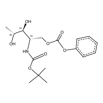 C[C@@H](O)[C@@H](O)[C@H](COC(=O)Oc1ccccc1)NC(=O)OC(C)(C)C